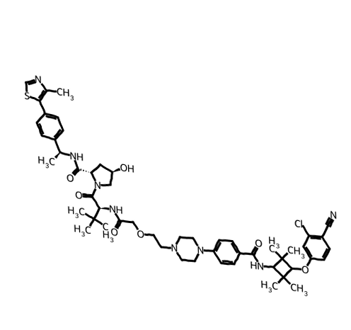 Cc1ncsc1-c1ccc([C@H](C)NC(=O)[C@@H]2C[C@@H](O)CN2C(=O)[C@@H](NC(=O)COCCN2CCN(c3ccc(C(=O)NC4C(C)(C)C(Oc5ccc(C#N)c(Cl)c5)C4(C)C)cc3)CC2)C(C)(C)C)cc1